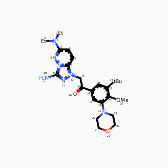 CCN(CC)c1ccc2n(n1)c(N)n[n+]2CC(=O)c1cc(N2CCOCC2)c(OC)c(C(C)(C)C)c1